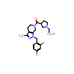 O=C(O)CN1CCC(C(=O)N2CCc3c(C(F)(F)F)nn(Cc4ccc(Cl)cc4F)c3C2)C1